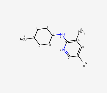 CC(=O)OC1CCC(Nc2ncc(C#N)cc2[N+](=O)[O-])CC1